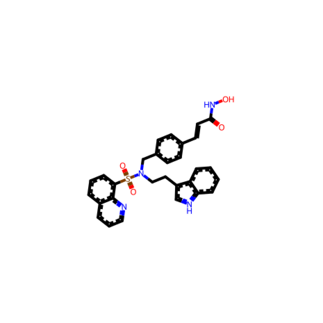 O=C(/C=C/c1ccc(CN(CCc2c[nH]c3ccccc23)S(=O)(=O)c2cccc3cccnc23)cc1)NO